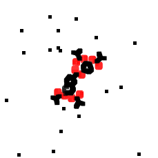 C=C(C)C(=O)Oc1ccc(OC(=O)c2ccc3cc(OC(=O)C(=C)C)c(OC(=O)C(=C)C)cc3c2)cc1OC(=O)C(=C)C